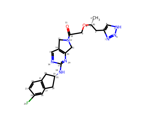 C[C@H](Cc1c[nH]nn1)OCC(=O)N1Cc2cnc(N[C@H]3Cc4ccc(F)cc4C3)nc2C1